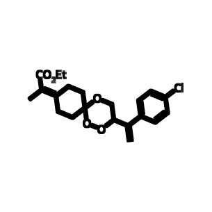 C=C(c1ccc(Cl)cc1)C1COC2(CCC(=C(C)C(=O)OCC)CC2)OO1